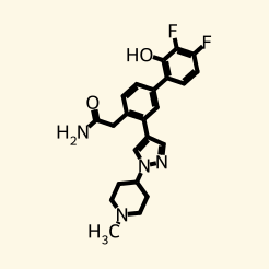 CN1CCC(n2cc(-c3cc(-c4ccc(F)c(F)c4O)ccc3CC(N)=O)cn2)CC1